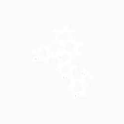 O=[N+]([O-])c1ccccc1-c1ccc2c(c1)c1ccc3ccccc3c1n2-c1ccccc1